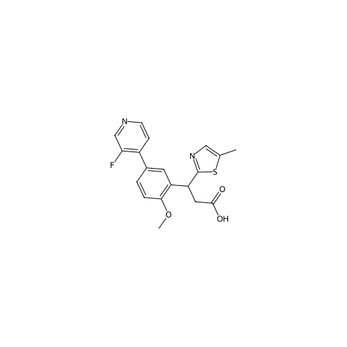 COc1ccc(-c2ccncc2F)cc1C(CC(=O)O)c1ncc(C)s1